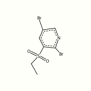 CCS(=O)(=O)c1cc(Br)cnc1Br